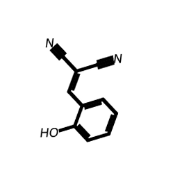 N#CC(C#N)=Cc1ccccc1O